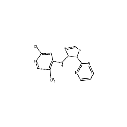 FC(F)(F)c1cnc(Cl)cc1NC1N=CSC1c1ncccn1